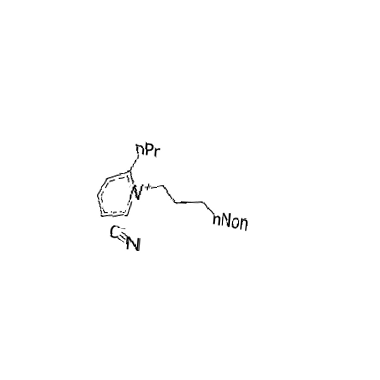 CCCCCCCCCCCC[n+]1ccccc1CCC.[C-]#N